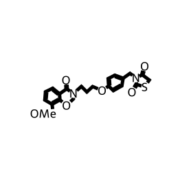 COc1cccc2c1OCN(CCCOc1ccc(CN3C(=O)CSC3=O)cc1)C2=O